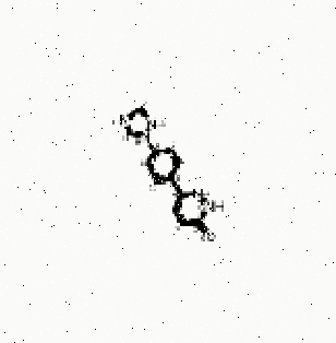 O=c1ccc(-c2ccc(-n3cncn3)cc2)n[nH]1